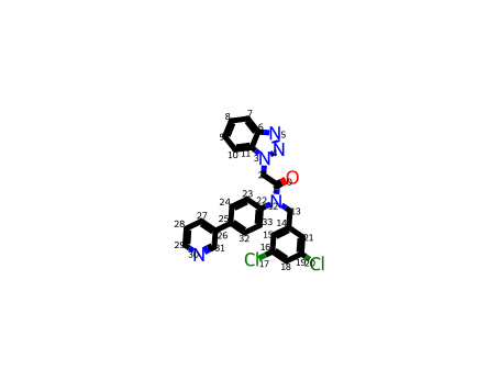 O=C(Cn1nnc2ccccc21)N(Cc1cc(Cl)cc(Cl)c1)c1ccc(-c2cccnc2)cc1